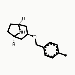 Fc1ccc(CO[C@H]2C[C@H]3CC[C@@H](C2)N3)cc1